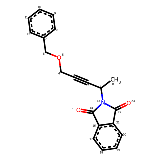 CC(C#CCOCc1ccccc1)N1C(=O)c2ccccc2C1=O